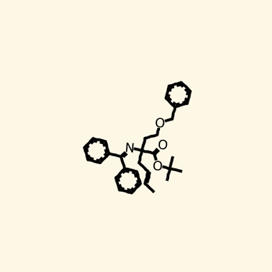 C/C=C/CC(CCOCc1ccccc1)(N=C(c1ccccc1)c1ccccc1)C(=O)OC(C)(C)C